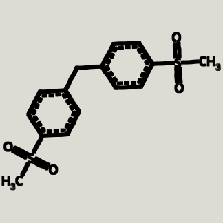 CS(=O)(=O)c1ccc(Cc2ccc(S(C)(=O)=O)cc2)cc1